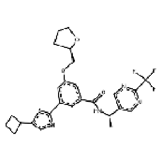 C[C@@H](NC(=O)c1cc(OC[C@H]2CCCO2)cc(-c2ncc(C3CCC3)s2)c1)c1cnc(C(F)(F)F)nc1